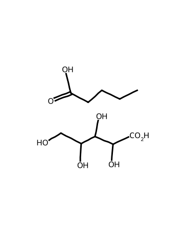 CCCCC(=O)O.O=C(O)C(O)C(O)C(O)CO